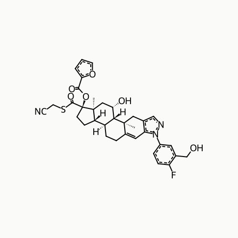 C[C@]12Cc3cnn(-c4ccc(F)c(CO)c4)c3C=C1CC[C@@H]1[C@@H]2[C@@H](O)C[C@@]2(C)[C@H]1CC[C@]2(OC(=O)c1ccco1)C(=O)SCC#N